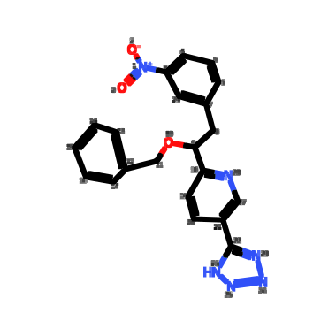 O=[N+]([O-])c1cccc(CC(OCc2ccccc2)c2ccc(-c3nnn[nH]3)cn2)c1